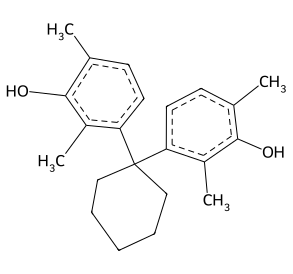 Cc1ccc(C2(c3ccc(C)c(O)c3C)CCCCC2)c(C)c1O